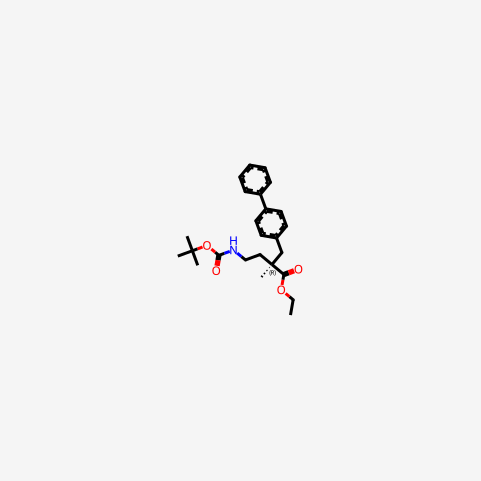 CCOC(=O)[C@@](C)(CCNC(=O)OC(C)(C)C)Cc1ccc(-c2ccccc2)cc1